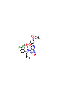 CC(=O)N1CCC(O)(c2cc3/c(=N/[C@H](C)c4cccc(C(F)(F)F)c4C)nc4n(c3cn2)CCO4)CC1